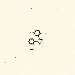 CCc1cc(C2=CN=C(S)C2c2cccc3c2OCCO3)c(O)cc1O